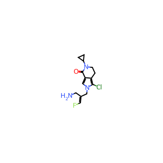 NC/C(=C\F)Cn1cc2c(c1Cl)CCN(C1CC1)C2=O